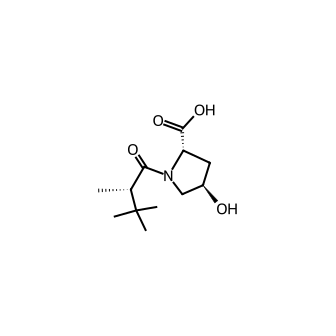 C[C@H](C(=O)N1C[C@H](O)C[C@H]1C(=O)O)C(C)(C)C